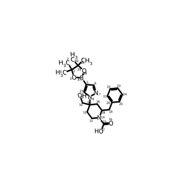 CC1(C)OB(c2cnn(C3(CO)CCN(C(=O)O)C(Cc4ccccc4)C3)c2)OC1(C)C